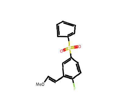 CO/C=C/c1cc(S(=O)(=O)c2ccccc2)ccc1F